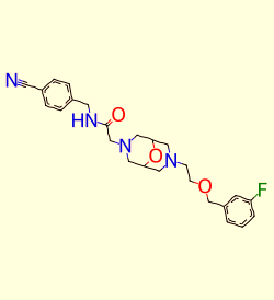 N#Cc1ccc(CNC(=O)CN2CC3CN(CCOCc4cccc(F)c4)CC(C2)O3)cc1